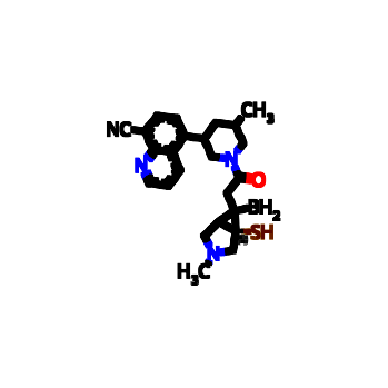 BC1(CC(=O)N2CC(C)CC(c3ccc(C#N)c4ncccc34)C2)C2CN(C)C[C@]21S